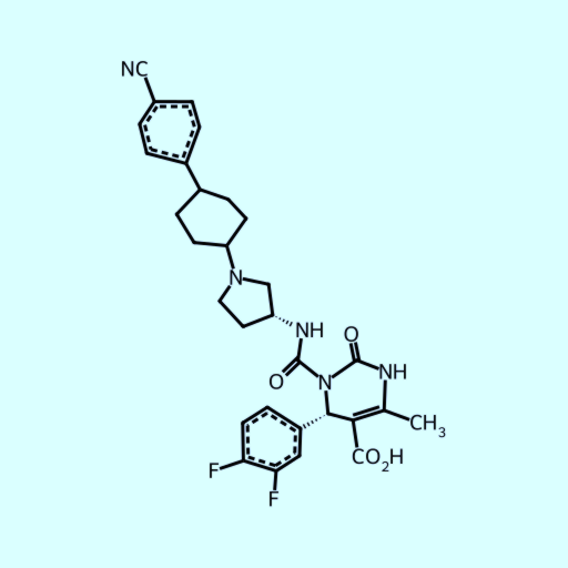 CC1=C(C(=O)O)[C@H](c2ccc(F)c(F)c2)N(C(=O)N[C@@H]2CCN(C3CCC(c4ccc(C#N)cc4)CC3)C2)C(=O)N1